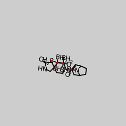 BC(B)(B)C(B)(B)OC(=O)N1C2C=C(N3CCC4(CC3)CNC(=O)C4)CC1CC2